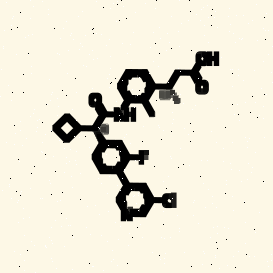 Cc1c(NC(=O)[C@@H](c2ccc(-c3cncc(Cl)c3)c(F)c2)C2CCC2)cccc1[C@@H](C)CC(=O)O